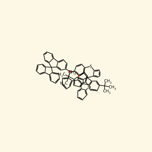 CC(C)(C)c1ccc2c(c1)C1(c3ccccc3Sc3ccc(N(c4ccc5c(c4)C4(c6ccccc6-c6ccccc64)c4ccccc4-5)c4ccccc4-c4cccc5oc6ccccc6c45)cc31)c1cc(C(C)(C)C)ccc1-2